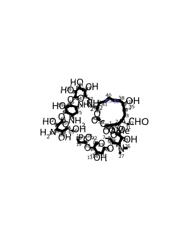 CO[C@@H]1[C@@H](O[C@@H]2O[C@H](C)[C@@H](O[C@H]3C[C@@](C)(O)[C@@H](OC(=O)CC(C)C)[C@H](C)O3)[C@H](N(C)C)[C@H]2O)[C@@H](CC=O)C[C@@H](C)[C@@H](O)/C=C/C=C/C[C@@H](C)OC(=O)C[C@H]1OC(C)=O.NC[C@H]1O[C@H](O[C@H]2[C@H](O)[C@@H](O[C@H]3O[C@H](CO)[C@@H](O)[C@H](N)[C@H]3O)[C@H](N)C[C@@H]2N)[C@H](O)[C@@H](O)[C@@H]1O